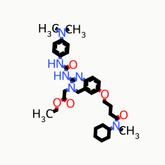 CCOC(=O)CN1Cc2cc(OCCCC(=O)N(C)C3CCCCC3)ccc2N=C1NC(=O)Nc1ccc(N(C)C)cc1